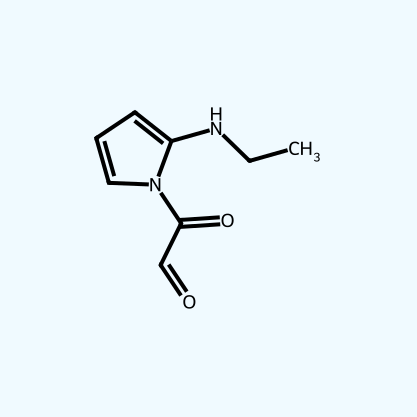 CCNc1cccn1C(=O)C=O